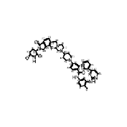 Cc1ccc(NC(=O)c2ccc(N3CCC(N4CCN(Cc5ccc6c(c5F)CN(C5CCC(=O)NC5=O)C6=O)CC4)CC3)cc2)cc1Nc1nccc(-c2cccnc2)n1